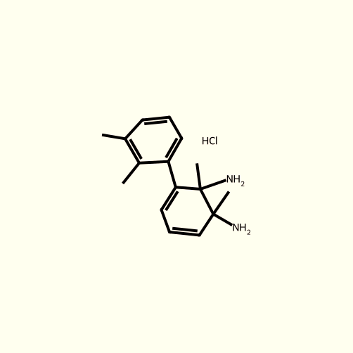 Cc1cccc(C2=CC=CC(C)(N)C2(C)N)c1C.Cl